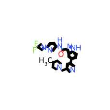 CC1CCN(Cc2cncc(-c3ccc4[nH]nc(C(=O)Nc5ccc(N6CC(F)(F)C6)nc5)c4c3)c2)CC1